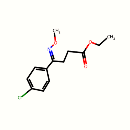 CCOC(=O)CCC(=NOC)c1ccc(Cl)cc1